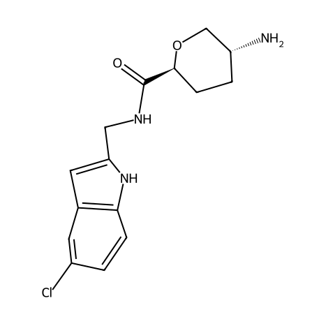 N[C@@H]1CC[C@@H](C(=O)NCc2cc3cc(Cl)ccc3[nH]2)OC1